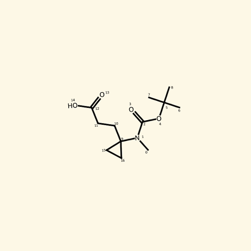 CN(C(=O)OC(C)(C)C)C1(CCC(=O)O)CC1